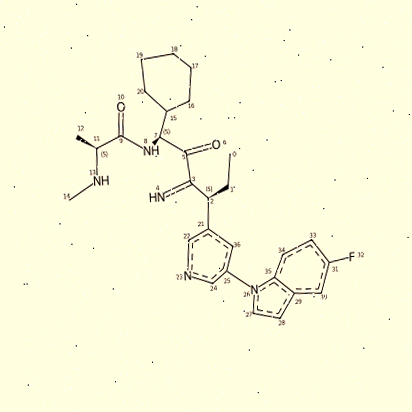 CC[C@H](C(=N)C(=O)[C@@H](NC(=O)[C@H](C)NC)C1CCCCC1)c1cncc(-n2ccc3cc(F)ccc32)c1